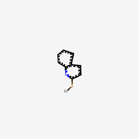 CCSc1ccc2ccccc2n1